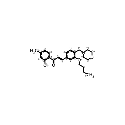 CCCCOc1cc(/C=C/C(=O)c2ccc(C)cc2O)ccc1CN1CCOCC1